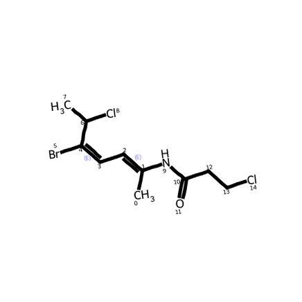 C/C(=C\C=C(\Br)C(C)Cl)NC(=O)CCCl